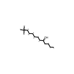 CCCCC(O)CCCCCCC(C)(C)C